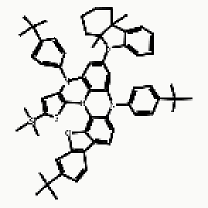 CC(C)(C)c1ccc(N2c3cc([Si](C)(C)C)sc3B3c4c2cc(N2c5ccccc5C5(C)CCCCC25C)cc4N(c2ccc(C(C)(C)C)cc2)c2ccc4c(oc5cc(C(C)(C)C)ccc54)c23)cc1